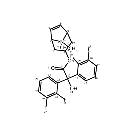 C[N+]1(C)C2C=CC1CC(OC(=O)C(O)(c1cccc(F)c1F)c1cccc(F)c1F)C2